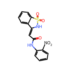 O=C(C=C1NS(=O)(=O)c2ccccc21)Nc1ccccc1[N+](=O)[O-]